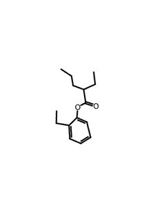 CCCC(CC)C(=O)Oc1ccccc1CC